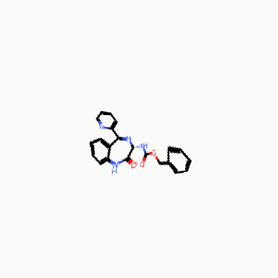 O=C(N[C@H]1N=C(c2ccccn2)c2ccccc2NC1=O)OCc1ccccc1